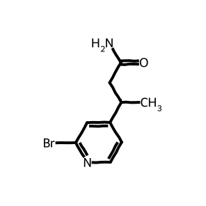 C[C](CC(N)=O)c1ccnc(Br)c1